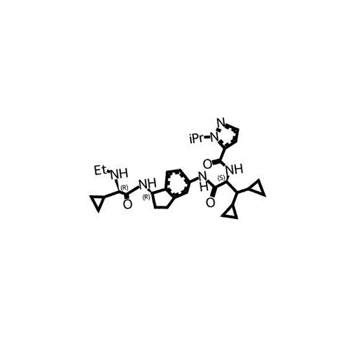 CCN[C@@H](C(=O)N[C@@H]1CCc2cc(NC(=O)[C@@H](NC(=O)c3ccnn3C(C)C)C(C3CC3)C3CC3)ccc21)C1CC1